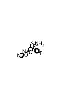 NC1=N[C@@]2(c3ccc(F)cc3F)CO[C@@H](c3nc4cnccc4o3)CC2CS1